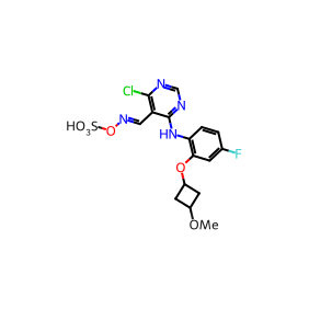 COC1CC(Oc2cc(F)ccc2Nc2ncnc(Cl)c2/C=N/OS(=O)(=O)O)C1